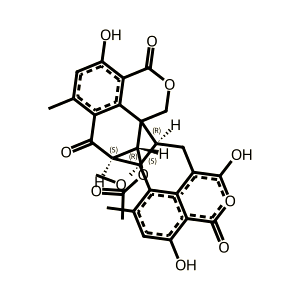 CO[C@@]12c3c(C)cc(O)c4c(=O)oc(O)c(c34)C[C@@H]1C13COC(=O)c4c(O)cc(C)c(c41)C(=O)[C@H]2[C@H]3OC(C)=O